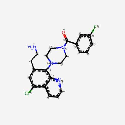 NCCc1cc(Cl)c2cccnc2c1N1CCN(C(=O)c2cccc(F)c2)CC1